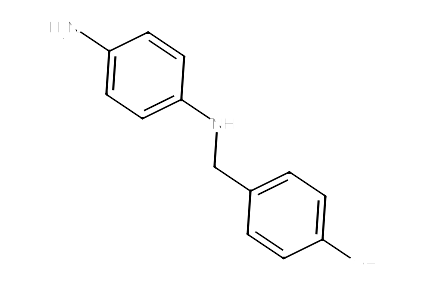 Nc1ccc(NCc2ccc(O)cc2)cc1